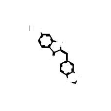 O=C1C(=Cc2ccc3c(c2)OCO3)Oc2cc(O)ccc21